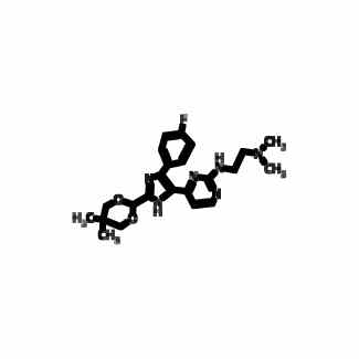 CN(C)CCNc1nccc(-c2[nH]c(C3OCC(C)(C)CO3)nc2-c2ccc(F)cc2)n1